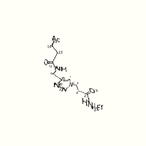 CCNC(=O)CCn1cc(CNC(=O)CCC(C)=O)nn1